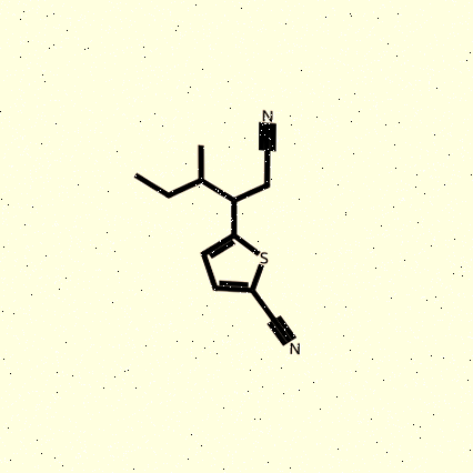 CCC(C)C(CC#N)c1ccc(C#N)s1